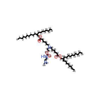 CCCCCCCCCCC(CCCCCCCC)COC(=O)CCCCCN(CCCCCC(=O)OCC(CCCCCCCC)CCCCCCCCCC)CCOC(=O)NCCN(C)C